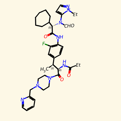 CCC(=O)N[C@@H](C(=O)N1CCN(Cc2ccccn2)CC1)[C@@H](C)c1ccc(NC(=O)[C@H](C2CCCCCC2)N(C=O)c2ccnn2CC)c(F)c1